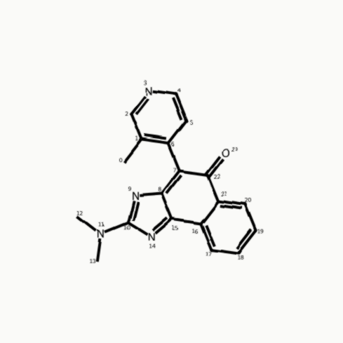 Cc1cnccc1C1=C2N=C(N(C)C)N=C2c2ccccc2C1=O